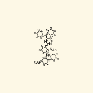 CC1=Cc2c(-c3ncc4c5ccccc5n(-c5ccccc5)c4n3)cccc2-n2c3cc(C(C)(C)C)ccc3c3cccc1c32